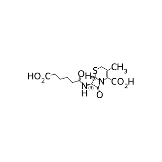 CC1=C(C(=O)O)N2C(=O)[C@@H](NC(=O)CCCCC(=O)O)[C@@H]2SC1